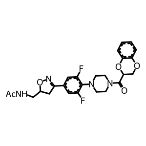 CC(=O)NCC1CC(c2cc(F)c(N3CCN(C(=O)C4COc5ccccc5O4)CC3)c(F)c2)=NO1